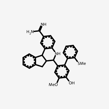 COc1cc(C2Nc3ccc(C(=N)N)cc3C3c4ccccc4CC23)c(-c2ccccc2SC)cc1O